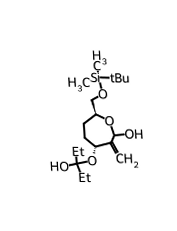 C=C1C(O)O[C@H](CO[Si](C)(C)C(C)(C)C)CC[C@H]1OC(O)(CC)CC